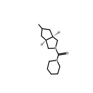 CC1C[C@@H]2CN(C(=O)N3CCCCC3)C[C@@H]2C1